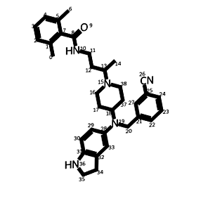 Cc1cccc(C)c1C(=O)NCCC(C)N1CCC(N(Cc2cccc(C#N)c2)c2ccc3c(c2)CCN3)CC1